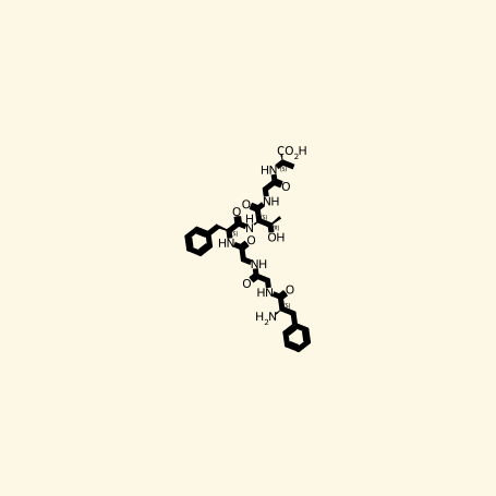 C[C@H](NC(=O)CNC(=O)[C@@H](NC(=O)[C@H](Cc1ccccc1)NC(=O)CNC(=O)CNC(=O)[C@@H](N)Cc1ccccc1)[C@@H](C)O)C(=O)O